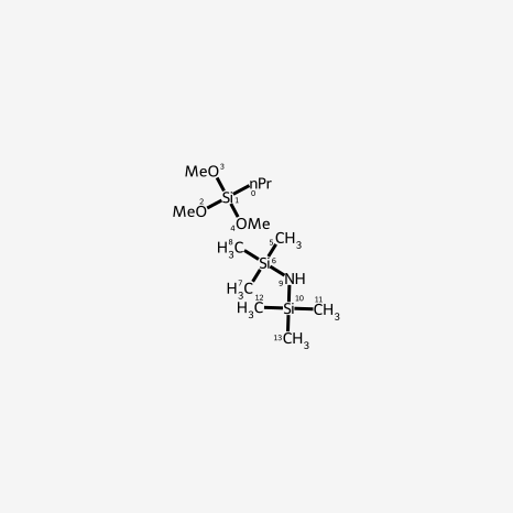 CCC[Si](OC)(OC)OC.C[Si](C)(C)N[Si](C)(C)C